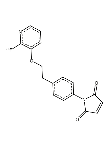 O=C1C=CC(=O)N1c1ccc(CCOc2cccnc2[18F])cc1